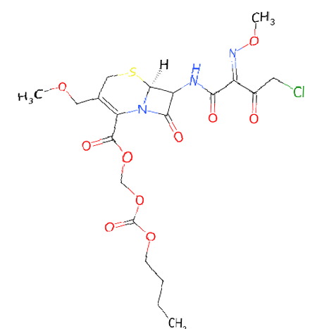 CCCCOC(=O)OCOC(=O)C1=C(COC)CS[C@H]2C(NC(=O)C(=NOC)C(=O)CCl)C(=O)N12